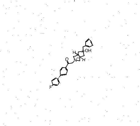 O=C(CN1C[C@@H]2C[C@@](O)(Cc3ccccc3)C[C@@H]2C1)c1ccc(-c2ccc(F)cc2)cc1